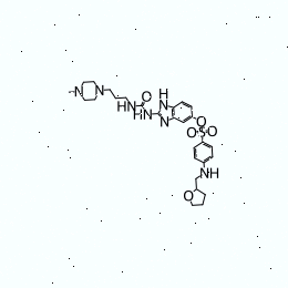 CN1CCN(CCCNC(=O)Nc2nc3cc(OS(=O)(=O)c4ccc(NCC5CCCO5)cc4)ccc3[nH]2)CC1